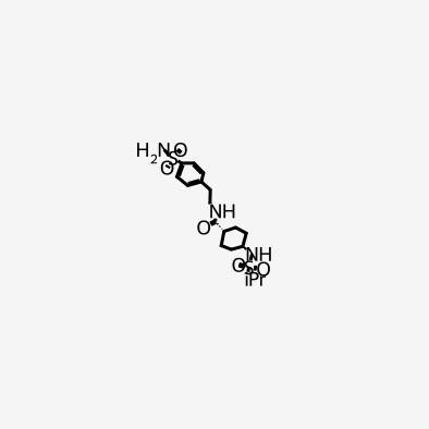 CC(C)S(=O)(=O)N[C@H]1CC[C@H](C(=O)NCCc2ccc(S(N)(=O)=O)cc2)CC1